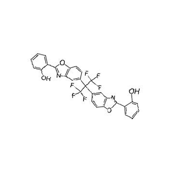 Oc1ccccc1-c1nc2cc(C(c3ccc4oc(-c5ccccc5O)nc4c3)(C(F)(F)F)C(F)(F)F)ccc2o1